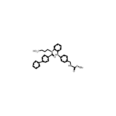 CC(C)(C)OC(=O)NCc1ccc(Nc2ccccc2N(CCCC(=O)O)C(=O)c2ccc(-c3ccccc3)cc2)cc1